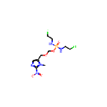 Cn1c(COCOP(=O)(NCCCl)NCCCl)cnc1[N+](=O)[O-]